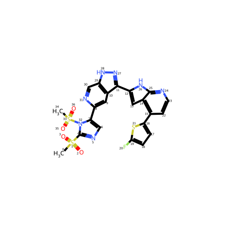 CS(=O)(=O)c1ncc(-c2cc3c(-c4cc5c(-c6ccc(F)s6)ccnc5[nH]4)n[nH]c3cn2)n1S(C)(=O)=O